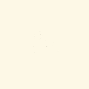 CC1=C(C(=O)O)CC(C(=O)O)=C2N1CC(C)C2(C)c1cccc(Cl)c1Cl